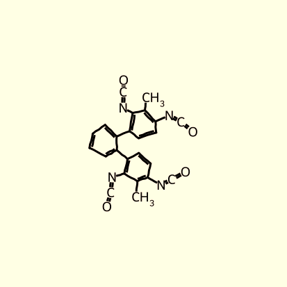 Cc1c(N=C=O)ccc(-c2ccccc2-c2ccc(N=C=O)c(C)c2N=C=O)c1N=C=O